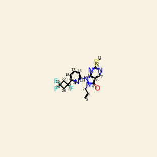 C=CCn1c(=O)c2cnc(SC)nc2n1-c1cccc(C2(F)CC(F)(F)C2)n1